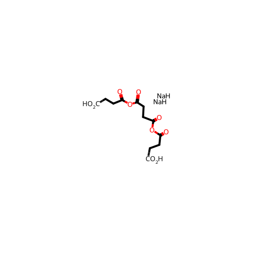 O=C(O)CCC(=O)OC(=O)CCC(=O)OC(=O)CCC(=O)O.[NaH].[NaH]